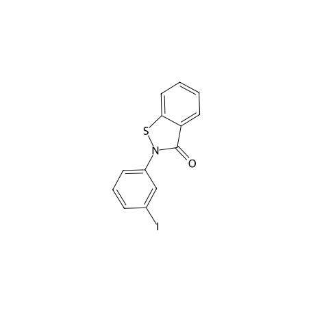 O=c1c2ccccc2sn1-c1cccc(I)c1